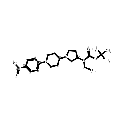 CCN(C(=O)OC(C)(C)C)C1CCN(C2CCN(c3ccc([N+](=O)[O-])cc3)CC2)C1